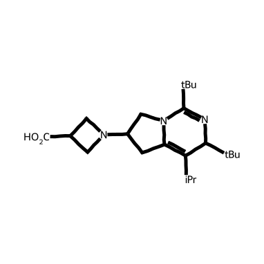 CC(C)C1=C2CC(N3CC(C(=O)O)C3)CN2C(C(C)(C)C)=NC1C(C)(C)C